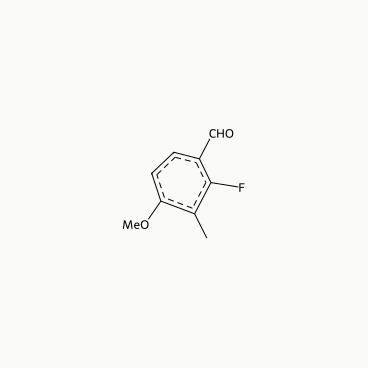 COc1ccc(C=O)c(F)c1C